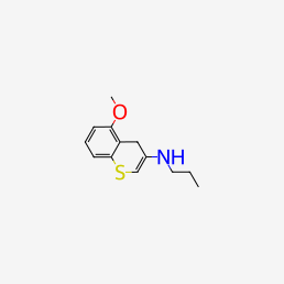 CCCNC1=CSc2cccc(OC)c2C1